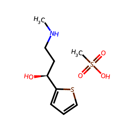 CNCC[C@H](O)c1cccs1.CS(=O)(=O)O